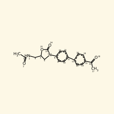 CC(=O)NCC1CN(c2ccc(-c3ccc(C(C)=O)cc3)cc2)C(=O)O1